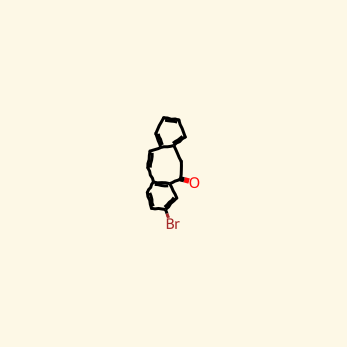 O=C1Cc2ccccc2C=Cc2ccc(Br)cc21